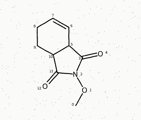 CON1C(=O)C2C=CCCC2C1=O